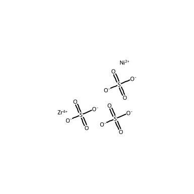 O=S(=O)([O-])[O-].O=S(=O)([O-])[O-].O=S(=O)([O-])[O-].[Ni+2].[Zr+4]